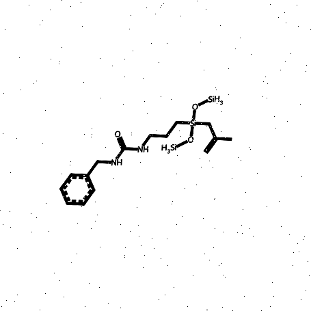 C=C(C)C[Si](CCCNC(=O)NCc1ccccc1)(O[SiH3])O[SiH3]